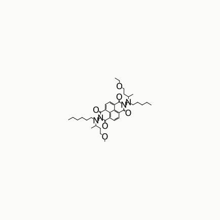 CCCCCCN(C(C)CCOC)N1C(=O)c2ccc3c4c(ccc(c24)C1=O)C(=O)N(N(CCCCC)C(C)CCOCC)C3=O